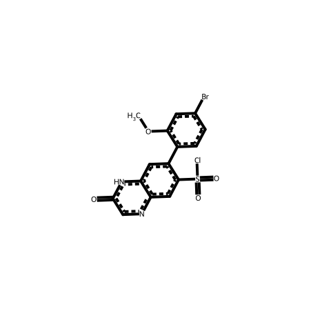 COc1cc(Br)ccc1-c1cc2[nH]c(=O)cnc2cc1S(=O)(=O)Cl